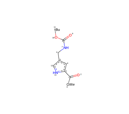 COC(=O)c1cc(CNC(=O)OC(C)(C)C)c[nH]1